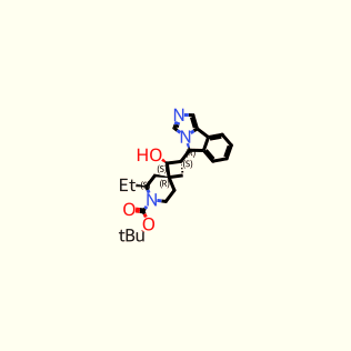 CC[C@H]1C[C@]2(CCN1C(=O)OC(C)(C)C)C[C@@H]([C@@H]1c3ccccc3-c3cncn31)[C@@H]2O